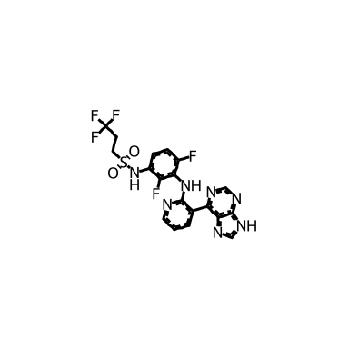 O=S(=O)(CCC(F)(F)F)Nc1ccc(F)c(Nc2ncccc2-c2ncnc3[nH]cnc23)c1F